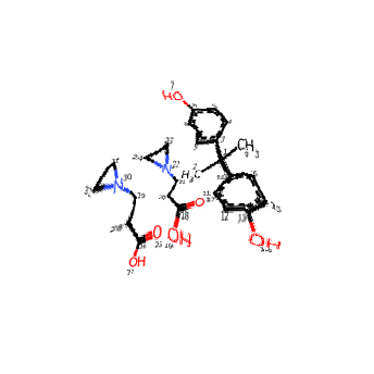 CC(C)(c1ccc(O)cc1)c1ccc(O)cc1.O=C(O)CCN1CC1.O=C(O)CCN1CC1